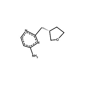 Nc1ccnc(C[C@@H]2CCOC2)n1